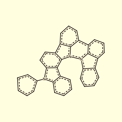 c1ccc(-n2c3ccccc3c3c2ccc2c4cccc5c6cccc7c8ccccc8n(c76)n(c54)c23)cc1